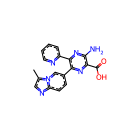 Cc1cnc2ccc(-c3nc(C(=O)O)c(N)nc3-c3ccccn3)cn12